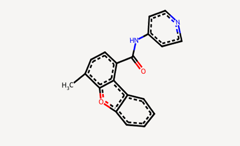 Cc1ccc(C(=O)Nc2ccncc2)c2c1oc1ccccc12